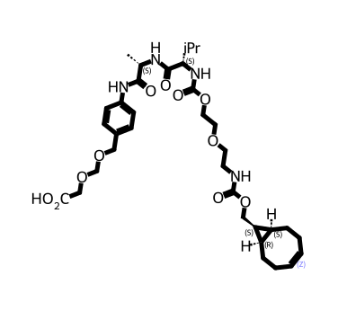 CC(C)[C@H](NC(=O)OCCOCCNC(=O)OC[C@@H]1[C@@H]2CC/C=C\CC[C@@H]21)C(=O)N[C@@H](C)C(=O)Nc1ccc(COCOCC(=O)O)cc1